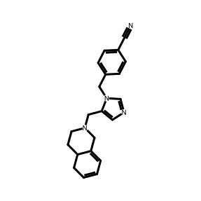 N#Cc1ccc(Cn2cncc2CN2CCC3CC=CC=C3C2)cc1